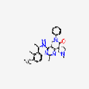 Cc1nc(N[C@H](C)c2cccc(C#N)c2C)c2c(n1)[C@@]1(CCN(C)C1)C(=O)N(c1ccccc1)C2